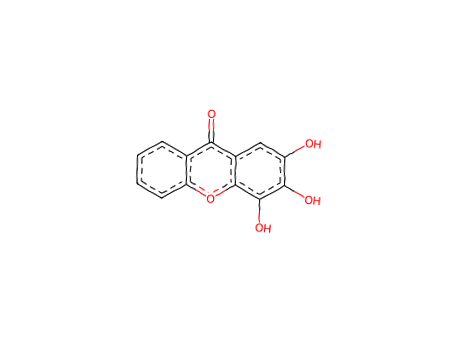 O=c1c2ccccc2oc2c(O)c(O)c(O)cc12